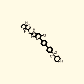 O=S(=O)(c1ccc(-c2ccc(-c3nc4nc(OC5CO[C@@H]6CCO[C@H]56)[nH]c4cc3Cl)cc2)cc1)C1CCNCC1